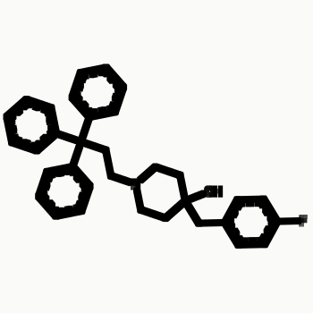 OC1(Cc2ccc(F)cc2)CCN(CCC(c2ccccc2)(c2ccccc2)c2ccccc2)CC1